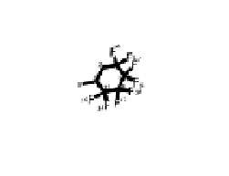 CC1CC(F)(F)C(F)(F)C(F)(F)C1(F)F